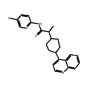 CC(C(=O)Nc1ccc(Cl)cn1)C1CCC(c2ccnc3ccccc23)CC1